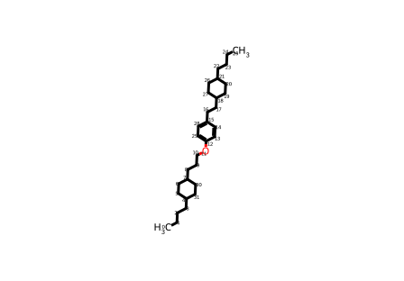 CCCCC1CCC(CCCOc2ccc(CCC3CCC(CCCC)CC3)cc2)CC1